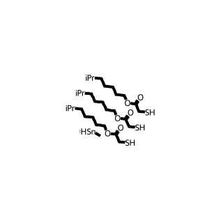 CC(C)CCCCCOC(=O)CS.CC(C)CCCCCOC(=O)CS.CC(C)CCCCCOC(=O)CS.[CH3][SnH]